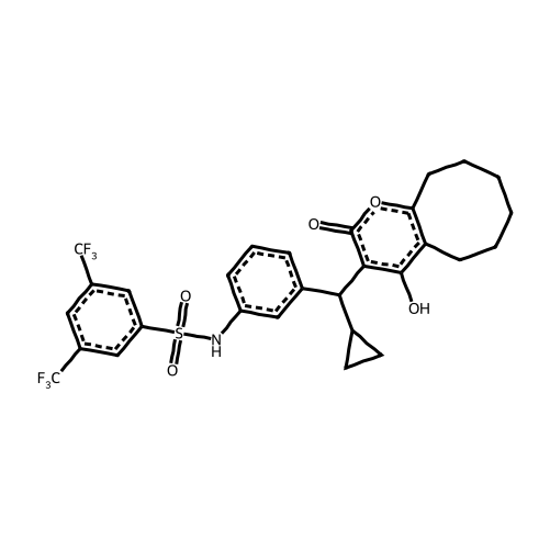 O=c1oc2c(c(O)c1C(c1cccc(NS(=O)(=O)c3cc(C(F)(F)F)cc(C(F)(F)F)c3)c1)C1CC1)CCCCCC2